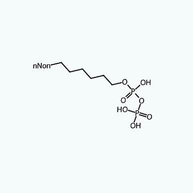 CCCCCCCCCCCCCCCOP(=O)(O)OP(=O)(O)O